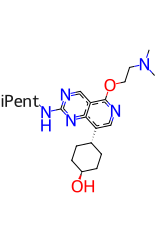 CCCC(C)Nc1ncc2c(OCCN(C)C)ncc([C@H]3CC[C@H](O)CC3)c2n1